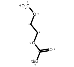 CC(C)(C)C(=O)OCCOC(=O)O